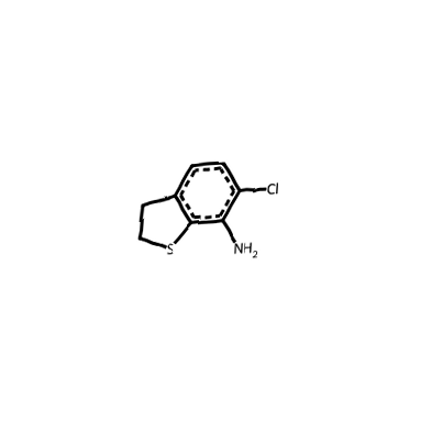 Nc1c(Cl)ccc2c1SCC2